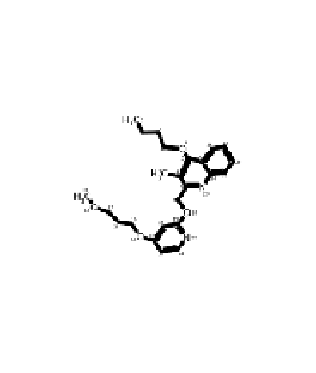 CCCCOc1c(C)c(COc2cc(OCCCOC)ccn2)nc2ccccc12